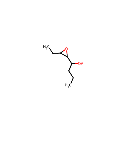 CCCC(O)C1OC1CC